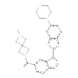 CC(=O)N1CC2(C1)CN(C(=O)c1ccc3[nH]nc(-c4nc5ccc(N6CCOCC6)cc5[nH]4)c3c1)C2